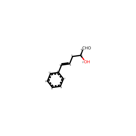 O=CC(O)C/C=C/c1ccccc1